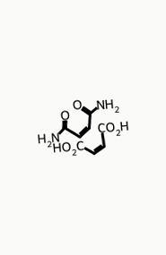 NC(=O)/C=C\C(N)=O.O=C(O)/C=C\C(=O)O